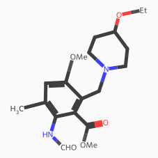 CCOC1CCN(Cc2c(OC)cc(C)c(NC=O)c2C(=O)OC)CC1